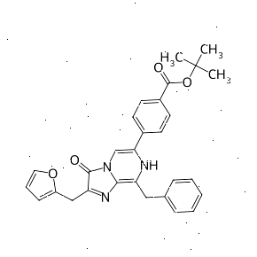 CC(C)(C)OC(=O)c1ccc(-c2cn3c(=O)c(Cc4ccco4)nc-3c(Cc3ccccc3)[nH]2)cc1